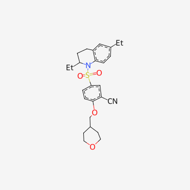 CCc1ccc2c(c1)CCC(CC)N2S(=O)(=O)c1ccc(OCC2CCOCC2)c(C#N)c1